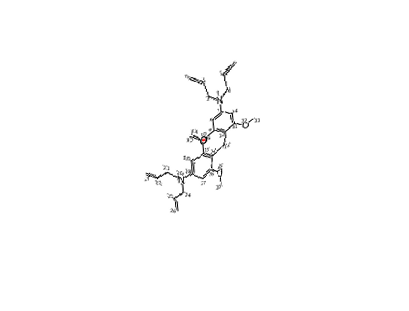 C=CCN(CC=C)c1cc(OC)c([CH]c2c(OC)cc(N(CC=C)CC=C)cc2OC)c(OC)c1